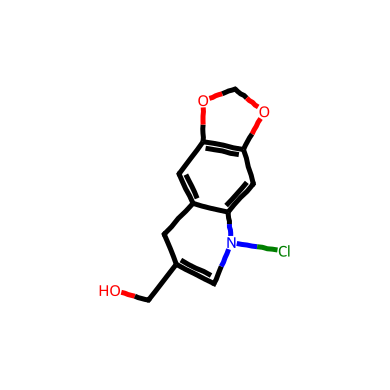 OCC1=CN(Cl)c2cc3c(cc2C1)OCO3